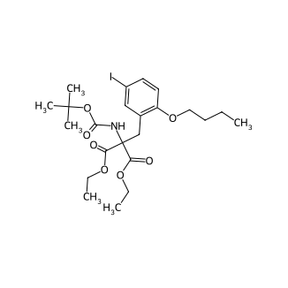 CCCCOc1ccc(I)cc1CC(NC(=O)OC(C)(C)C)(C(=O)OCC)C(=O)OCC